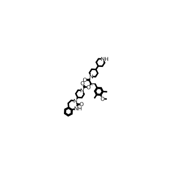 COc1c(C)cc(C[C@@H](OC(=O)N2CCC(N3CCc4ccccc4NC3=O)CC2)C(=O)N2CCC(C3CCNCC3)CC2)cc1C